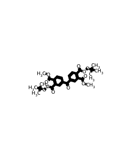 COC(=O)c1cc(C(=O)c2ccc(C(=O)OC)c(C(=O)OOC(C)(C)C)c2)ccc1C(=O)OOC(C)(C)C